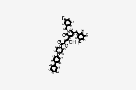 O=C(C=C(O)c1cc(Cc2cc(F)cc(F)c2F)cn(Cc2cccc(F)c2)c1=O)C(=O)N1CCN(c2ccc(-c3ccccc3)cc2)CC1